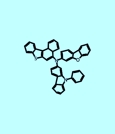 C1=CC2C(N(c3ccc4c(c3)oc3ccccc34)c3ccc4c5ccccc5n(-c5ccccc5)c4c3)=Cc3sc4ccccc4c3C2C=C1